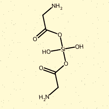 NCC(=O)O[Si](O)(O)OC(=O)CN